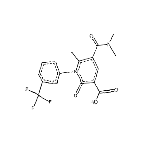 Cc1c(C(=O)N(C)C)cc(C(=O)O)c(=O)n1-c1cccc(C(F)(F)F)c1